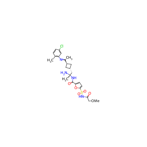 COCC(=O)NS(=O)(=O)c1ccc(C(=O)N[C@](C)(N)C[C@H]2C[C@H](/C(C)=N/c3cc(Cl)ccc3C)C2)o1